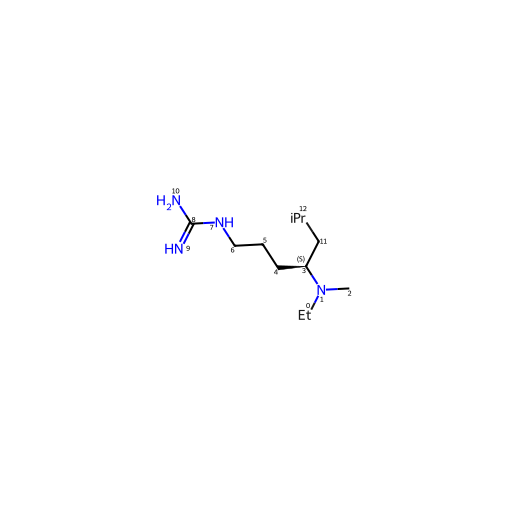 CCN(C)[C@@H](CCCNC(=N)N)CC(C)C